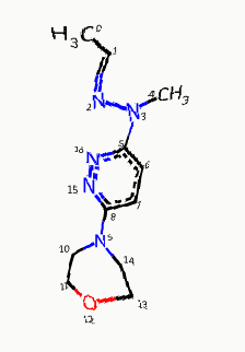 CC=NN(C)c1ccc(N2CCOCC2)nn1